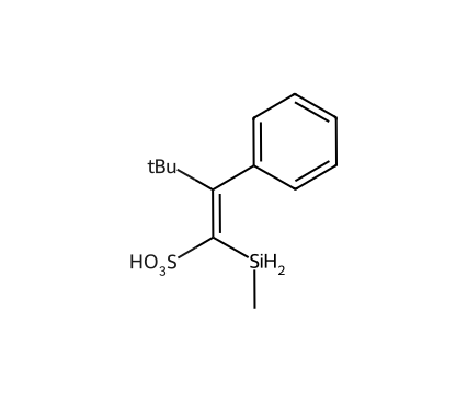 C[SiH2]C(=C(c1ccccc1)C(C)(C)C)S(=O)(=O)O